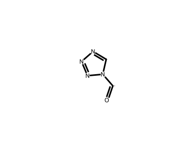 O=[C]n1cnnn1